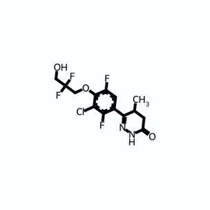 CC1CC(=O)NN=C1c1cc(F)c(OCC(F)(F)CO)c(Cl)c1F